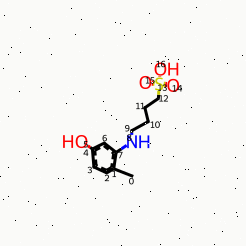 Cc1ccc(O)cc1NCCCCS(=O)(=O)O